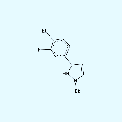 CCc1ccc(C2C=CN(CC)N2)cc1F